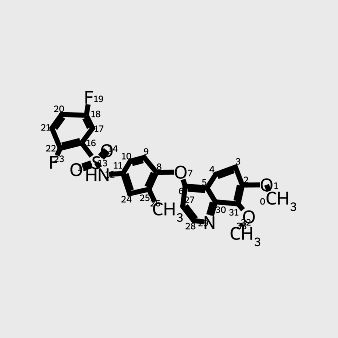 COc1ccc2c(Oc3ccc(NS(=O)(=O)c4cc(F)ccc4F)cc3C)ccnc2c1OC